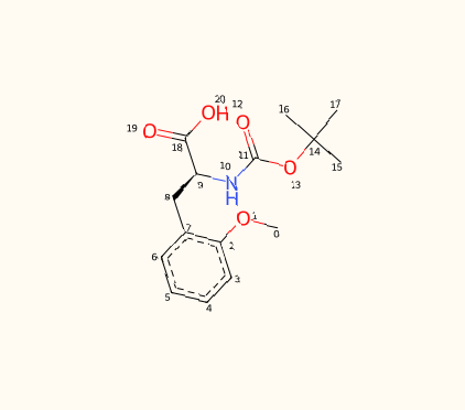 COc1ccccc1C[C@H](NC(=O)OC(C)(C)C)C(=O)O